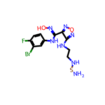 NSNCCNc1nonc1/C(=N/O)Nc1ccc(F)c(Br)c1